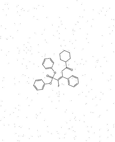 O=C(C/C(=C(/F)P(=O)(Oc1ccccc1)Oc1ccccc1)c1ccccc1)C1CCCCC1